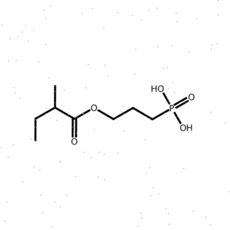 CCC(C)C(=O)OCCCP(=O)(O)O